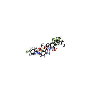 O=C(Nc1cccc(C(=O)Nc2c(Br)cc(C(F)(C(F)(F)F)C(F)(F)C(F)(F)F)cc2C(F)(F)F)c1F)c1ccc(F)cc1